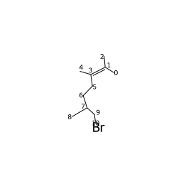 CC(C)=C(C)CCC(C)CBr